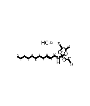 CCCCCCCC/C=C/CNC(OCC)(OCC)OCC.Cl